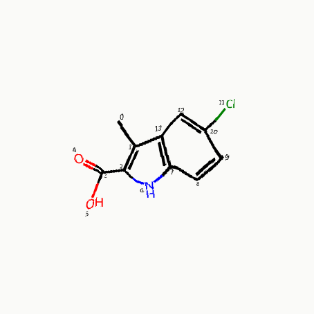 Cc1c(C(=O)O)[nH]c2ccc(Cl)cc12